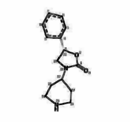 O=C1O[C@@H](c2ccccc2)CN1C1CCNCC1